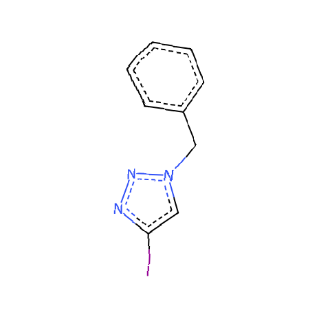 Ic1cn(Cc2ccccc2)nn1